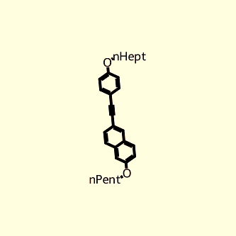 CCCCCCCOc1ccc(C#Cc2ccc3cc(OCCCCC)ccc3c2)cc1